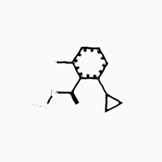 CNNC(=O)c1c(Cl)cccc1C1CC1